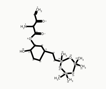 C=CC(=O)C(N)C(=O)OC1CC(CC[Si]2(C)O[Si](C)(C)O[Si](C)(C)O2)CCC1O